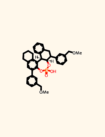 COCc1cccc(-c2cc3c(c4c2OP(=O)(O)O[C@@H]2C(c5cccc(COC)c5)Cc5ccccc5[C@H]42)CCCC3)c1